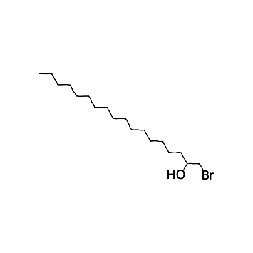 CCCCCCCCCCCCCCCCC(O)CBr